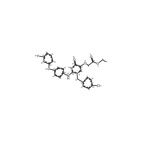 CCOC(=O)COc1cn(Cc2ccc(Cl)cc2)c(Nc2ccc(Oc3cccc(F)n3)cc2)nc1=O